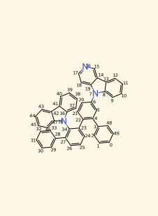 c1ccc(-c2cc(-n3c4ccccc4c4cnccc43)ccc2-c2cccc(-c3ccccc3)c2-n2c3ccccc3c3ccccc32)cc1